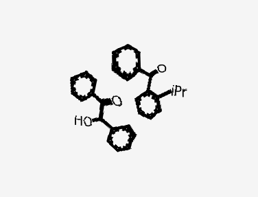 CC(C)c1ccccc1C(=O)c1ccccc1.O=C(c1ccccc1)C(O)c1ccccc1